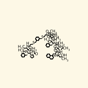 CCC[C@H](NC(=O)[C@H](Cc1cccc2ccccc12)NC(=O)C[C@@H](C)O)C(=O)N[C@@H](C)C(=O)N[C@@H](Cc1ccccc1)C(=O)N[C@](C)(C(=O)N[C@@H](C)C(=O)NCCSCc1cccc(CSCCC(=O)NC(C(=O)N[C@@H](Cc2ccccc2)C(=O)N2CCC[C@H]2C(N)=O)C(C)C)c1)C(C)C